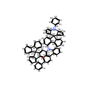 c1ccc(-c2ccc(-c3ccccc3N(c3ccc4c(c3)C3(c5ccccc5-c5ccccc53)c3ccccc3-4)c3cccc4c3-c3ccccc3C43c4ccccc4N(c4ccccc4)c4ccccc43)cc2)cc1